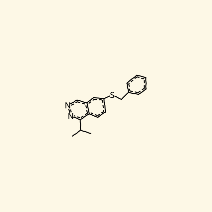 CC(C)c1nncc2cc(SCc3ccccc3)ccc12